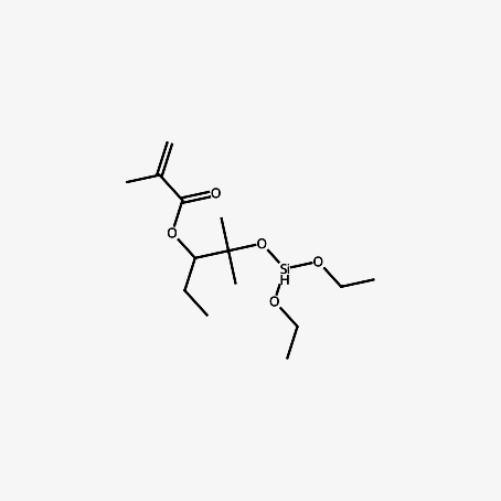 C=C(C)C(=O)OC(CC)C(C)(C)O[SiH](OCC)OCC